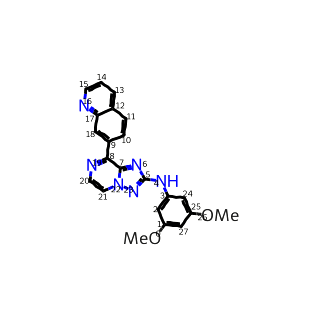 COc1cc(Nc2nc3c(-c4ccc5cccnc5c4)nccn3n2)cc(OC)c1